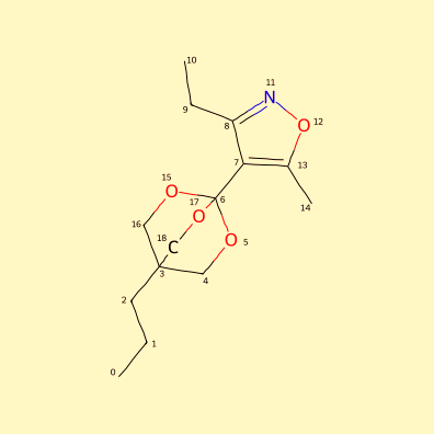 CCCC12COC(c3c(CC)noc3C)(OC1)OC2